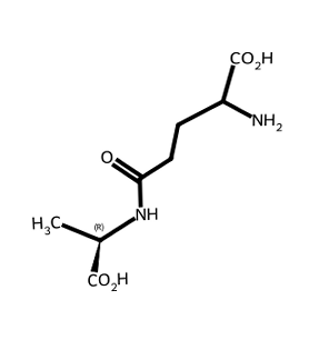 C[C@@H](NC(=O)CCC(N)C(=O)O)C(=O)O